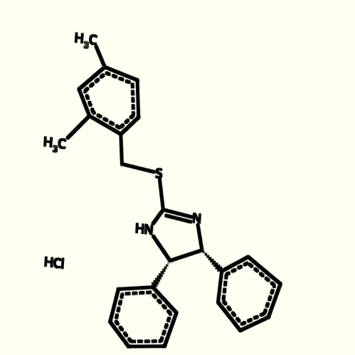 Cc1ccc(CSC2=N[C@H](c3ccccc3)[C@H](c3ccccc3)N2)c(C)c1.Cl